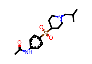 C[C](C)CN1CCC(S(=O)(=O)c2ccc(NC(C)=O)cc2)CC1